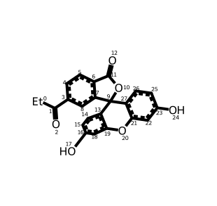 CCC(=O)c1ccc2c(c1)C1(OC2=O)c2ccc(O)cc2Oc2cc(O)ccc21